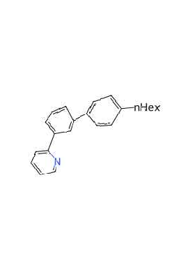 CCCCCCc1ccc(-c2cccc(-c3ccccn3)c2)cc1